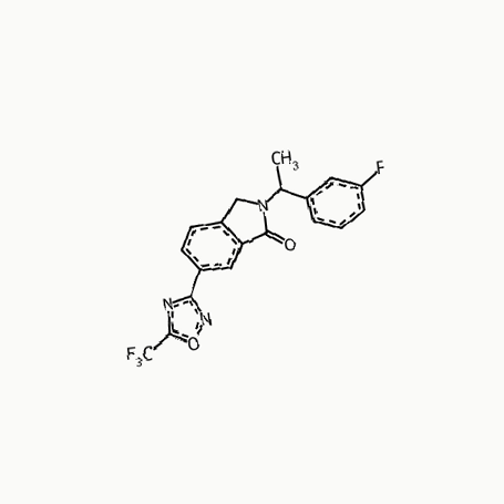 CC(c1cccc(F)c1)N1Cc2ccc(-c3noc(C(F)(F)F)n3)cc2C1=O